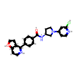 O=C(N[C@H]1CCN(c2ccnc(Cl)c2)C1)c1ccc(-c2nccc3occc23)cc1